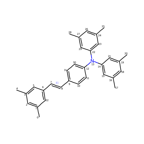 Cc1cc(C)cc(/C=C/c2ccc(N(c3cc(C)cc(C)c3)c3cc(C)cc(C)c3)cc2)c1